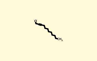 CCCCCCCCCC#C[CH]Cl